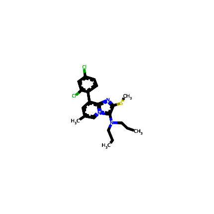 CCCN(CCC)c1c(SC)nc2c(-c3ccc(Cl)cc3Cl)cc(C)cn12